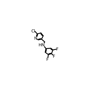 Fc1cc(NCc2ccc(Cl)nc2)cc(F)c1F